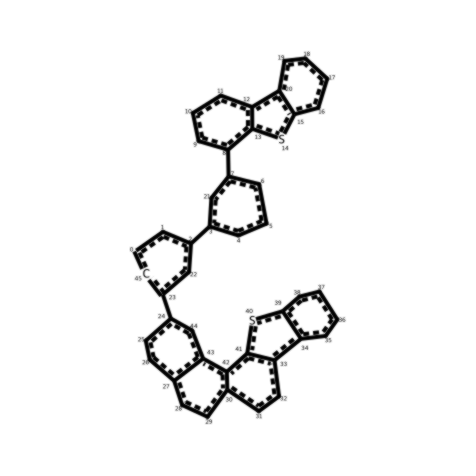 c1cc(-c2cccc(-c3cccc4c3sc3ccccc34)c2)cc(-c2ccc3ccc4ccc5c6ccccc6sc5c4c3c2)c1